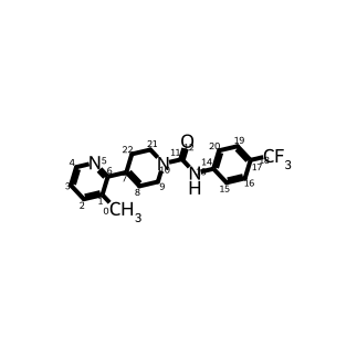 Cc1cccnc1C1=CCN(C(=O)Nc2ccc(C(F)(F)F)cc2)CC1